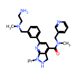 CC(C)N1NCc2c(C(=O)N(C)Cc3cccnc3)cc(-c3cccc(CN(C)CCN)c3)nc21